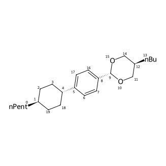 CCCCC[C@H]1CC[C@H](c2ccc([C@H]3OC[C@H](CCCC)CO3)cc2)CC1